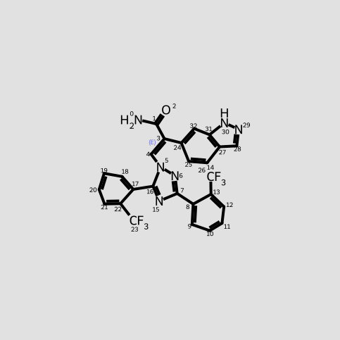 NC(=O)/C(=C/n1nc(-c2ccccc2C(F)(F)F)nc1-c1ccccc1C(F)(F)F)c1ccc2cn[nH]c2c1